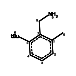 Cc1cccc(C(C)(C)C)c1CN